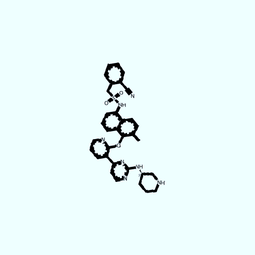 Cc1ccc2c(NS(=O)(=O)Cc3ccccc3C#N)cccc2c1Oc1ncccc1-c1ccnc(N[C@H]2CCCNC2)n1